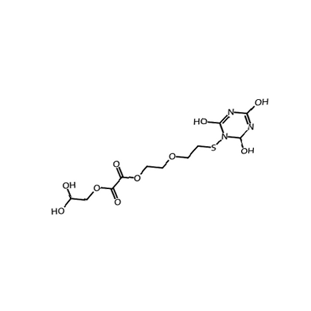 O=C(OCCOCCSN1C(O)=NC(O)=NC1O)C(=O)OCC(O)O